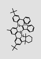 Cc1cc2c3c(c1)N(c1ccc(C(C)(C)C)cc1-c1ccccc1)c1oc4ccccc4c1B3N1c3c-2cc(C(C)(C)C)cc3C2(C)CCCCC12C